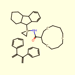 C=C(C(=C)c1ccccc1)c1ccccc1.O=C([NH][Ti]1([CH]2C3C=CC=CC3C3CCCCC32)[CH2][CH2]1)C1CCCCCCCCCCC1